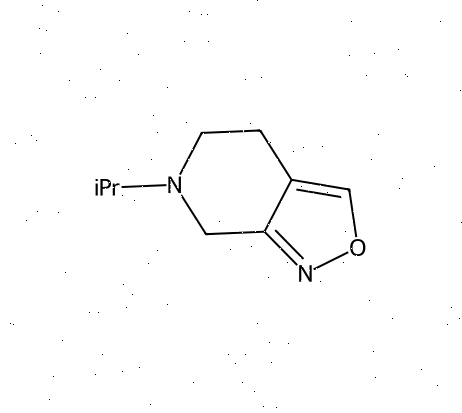 CC(C)N1CCc2conc2C1